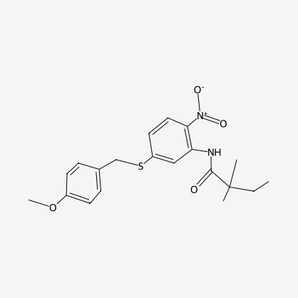 CCC(C)(C)C(=O)Nc1cc(SCc2ccc(OC)cc2)ccc1[N+](=O)[O-]